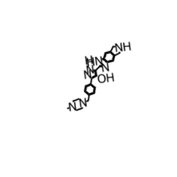 CN1CCN(Cc2ccc(-c3n[nH]c(-c4nc5cc6c(cc5[nH]4)CNC6)c3O)cc2)CC1